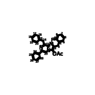 CC(=O)Oc1c(Cc2ccccc2F)nc2c(Cc3ccccc3)nc(-c3ccccc3)cn12